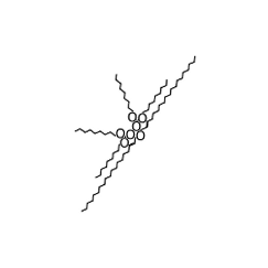 CCCCCCCCCCCCCCCCC=CC(OC(C=CCCCCCCCCCCCCCCCC)OC(OCCCCCCCCC)OCCCCCCCCC)OC(OCCCCCCCCC)OCCCCCCCCC